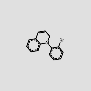 Brc1ccccc1N1CC=Cc2ccccc21